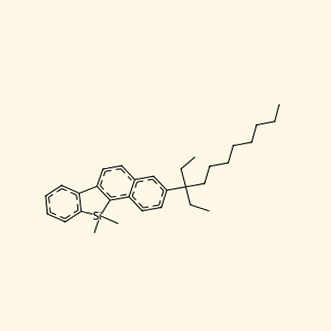 CCCCCCCCC(CC)(CC)c1ccc2c3c(ccc2c1)-c1ccccc1[Si]3(C)C